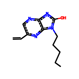 C=Cc1cnc2nc(O)n(CCCCC)c2n1